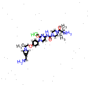 CC(COc1ccc(-n2ccc(NC(=O)N3CCN(C(=O)C(C)(C)N)CC3)nc2=O)cc1)N1CC2C(CN)C2C1.Cl